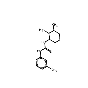 Cc1cccc(NC(=S)NC2CCCC(C)C2C)c1